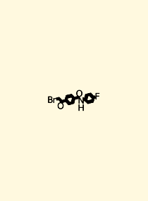 O=C(CBr)c1ccc(C(=O)Nc2ccc(F)cc2)cc1